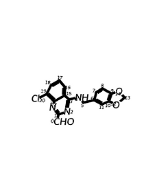 O=Cc1nc(NCc2ccc3c(c2)OCO3)c2cccc(Cl)c2n1